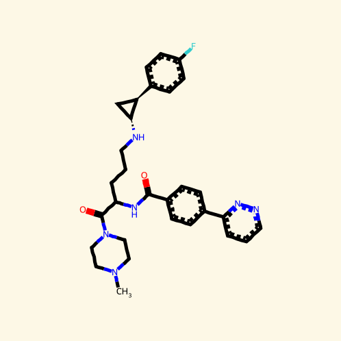 CN1CCN(C(=O)C(CCCN[C@@H]2C[C@H]2c2ccc(F)cc2)NC(=O)c2ccc(-c3cccnn3)cc2)CC1